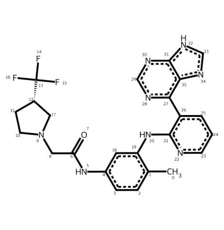 Cc1ccc(NC(=O)CN2CC[C@H](C(F)(F)F)C2)cc1Nc1ncccc1-c1ncnc2[nH]cnc12